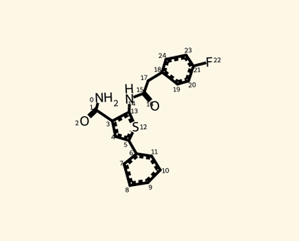 NC(=O)c1cc(-c2ccccc2)sc1NC(=O)Cc1ccc(F)cc1